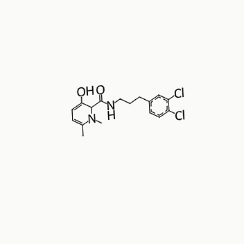 CC1=CC=C(O)C(C(=O)NCCCc2ccc(Cl)c(Cl)c2)N1C